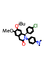 CC[C@@H](C)Oc1cc2c(cc1OC)CC(=O)N(c1ccc(N(C)C)cc1)[C@@H]2c1ccc(Cl)cc1